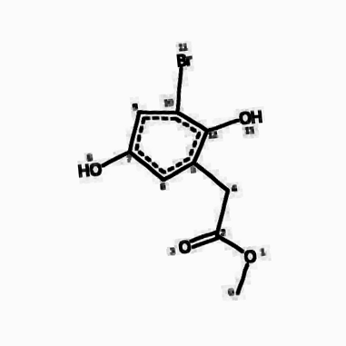 COC(=O)Cc1cc(O)cc(Br)c1O